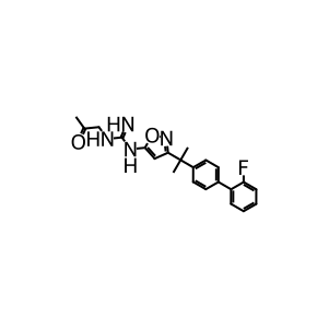 CC(=O)CNC(=N)Nc1cc(C(C)(C)c2ccc(-c3ccccc3F)cc2)no1